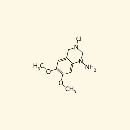 COc1cc2c(cc1OC)N(N)CN(Cl)C2